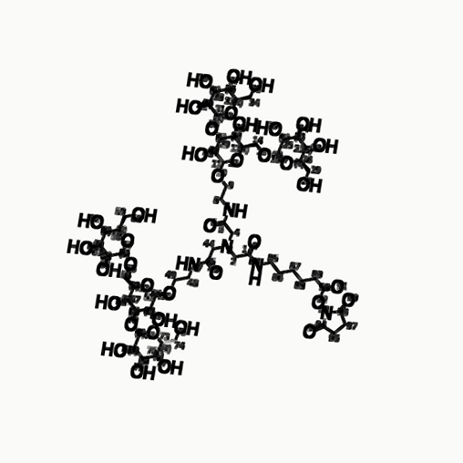 O=C(CN(CC(=O)NCCOC1O[C@H](CO[C@H]2O[C@H](CO)[C@@H](O)[C@H](O)[C@@H]2O)[C@@H](O)[C@H](O[C@H]2O[C@H](CO)[C@@H](O)[C@H](O)[C@@H]2O)[C@H]1O)CC(=O)NCCO[C@@H]1O[C@H](CO[C@H]2O[C@H](CO)[C@@H](O)[C@H](O)[C@@H]2O)[C@@H](O)[C@H](O[C@H]2O[C@H](CO)[C@@H](O)[C@H](O)[C@@H]2O)[C@H]1O)NCCCCCC(=O)ON1C(=O)CCC1=O